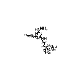 C/C=N/Nc1nc(NN)nc(NCCC[Si](OC)(OC(C)(C)C)OC(C)(C)C)n1